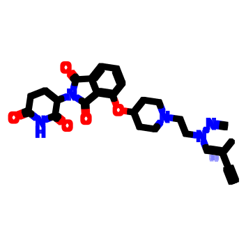 C#C/C(C)=C/N(CCN1CCC(Oc2cccc3c2C(=O)N(C2CCC(=O)NC2=O)C3=O)CC1)N=C